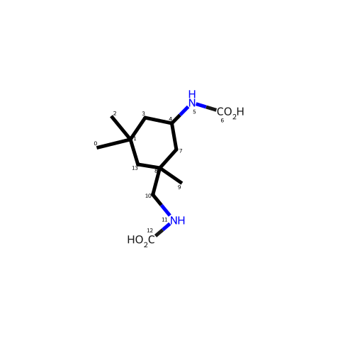 CC1(C)CC(NC(=O)O)CC(C)(CNC(=O)O)C1